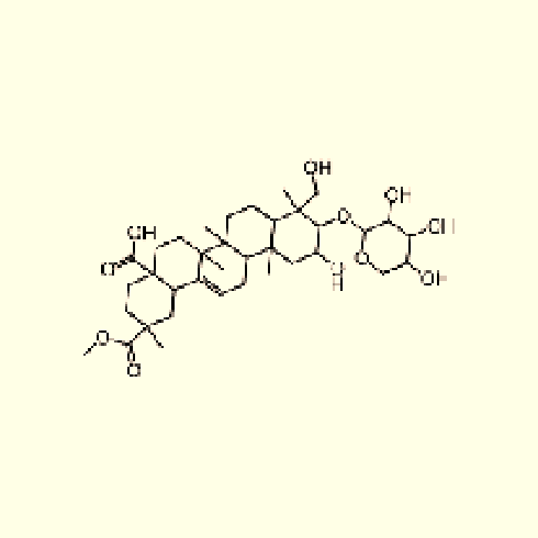 COC(=O)C1(C)CCC2(C(=O)O)CCC3(C)C(=CCC4C5(C)CC(O)C(OC6OCC(O)C(O)C6O)C(C)(CO)C5CCC43C)C2C1